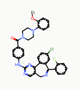 CCOc1ccccc1N1CCN(C(=O)c2ccc(Nc3ncc4c(n3)-c3ccc(Cl)cc3C(c3ccccc3F)=NC4)cc2)CC1